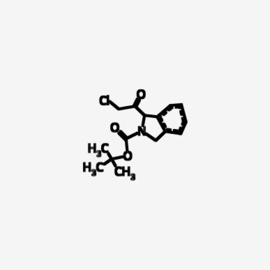 CC(C)(C)OC(=O)N1Cc2ccccc2C1C(=O)CCl